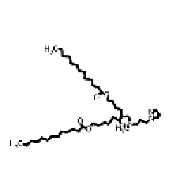 CCCCCCCCCCCCC(=O)OCCCCCC(O)C(CCCCOC(=O)CCCCCCCCCCCC)CN(C)CCCn1cccn1